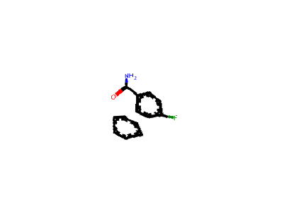 NC(=O)c1ccc(F)cc1.c1ccccc1